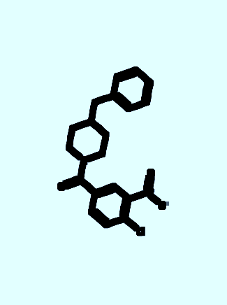 O=C(c1ccc(Cl)c([N+](=O)[O-])c1)N1CCC(Cc2ccccc2)CC1